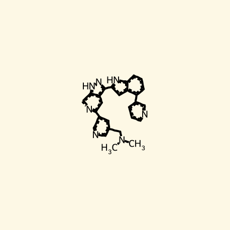 CN(C)Cc1cncc(-c2cc3c(-c4cc5c(-c6cccnc6)cccc5[nH]4)n[nH]c3cn2)c1